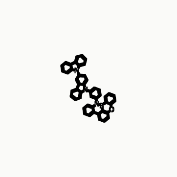 c1cc(N2B3c4ccccc4Oc4cccc(c43)-c3ccccc32)cc(-n2c3ccccc3c3cc(-n4c5ccccc5c5ccccc54)ccc32)c1